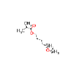 C=C(C)C(=O)OCCCC[SiH2]O[SiH3]